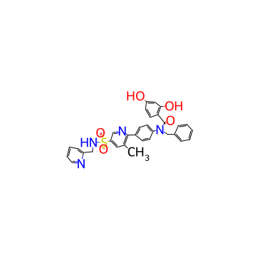 Cc1cc(S(=O)(=O)NCc2ccccn2)cnc1-c1ccc(N(Cc2ccccc2)C(=O)c2ccc(O)cc2O)cc1